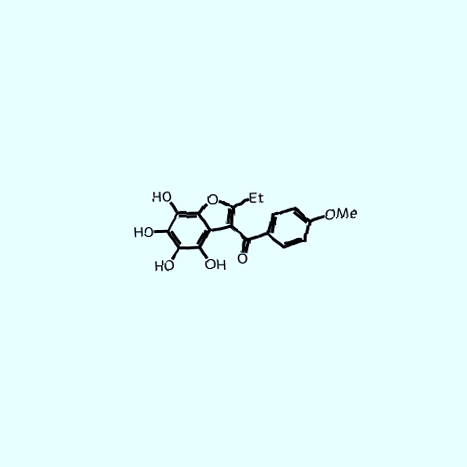 CCc1oc2c(O)c(O)c(O)c(O)c2c1C(=O)c1ccc(OC)cc1